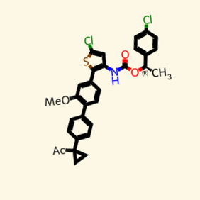 COc1cc(-c2sc(Cl)cc2NC(=O)O[C@H](C)c2ccc(Cl)cc2)ccc1-c1ccc(C2(C(C)=O)CC2)cc1